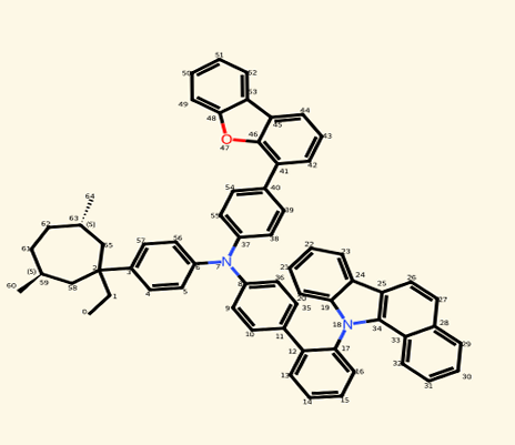 CCC1(c2ccc(N(c3ccc(-c4ccccc4-n4c5ccccc5c5ccc6ccccc6c54)cc3)c3ccc(-c4cccc5c4oc4ccccc45)cc3)cc2)C[C@@H](C)CC[C@H](C)C1